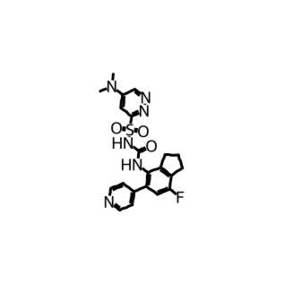 CN(C)c1cnnc(S(=O)(=O)NC(=O)Nc2c(-c3ccncc3)cc(F)c3c2CCC3)c1